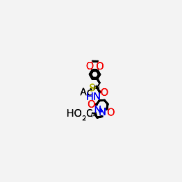 CC(=O)S[C@@H](Cc1ccc2c(c1)OCCO2)C(=O)NC1CCC(=O)N2CC[C@@H](C(=O)O)N2C1=O